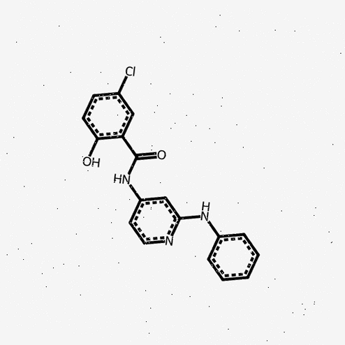 O=C(Nc1ccnc(Nc2ccccc2)c1)c1cc(Cl)ccc1O